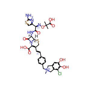 CC(C)(O/N=C(\C(=O)N[C@@H]1C(=O)N2C(C(=O)O)=C(/C=C/c3ccc(C[N+]4(C)Cc5cc(O)c(O)c(Cl)c5C4)cc3)CS[C@H]12)c1csc(N)n1)C(=O)O